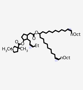 CC/C=C\CC1C(CC(=O)OC(CCCCCCCC/C=C\CCCCCCCC)CCCCCCCC/C=C\CCCCCCCC)CCC1OC(=O)C1(C)CCN(C)C1